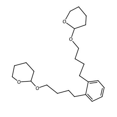 c1ccc(CCCCOC2CCCCO2)c(CCCCOC2CCCCO2)c1